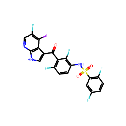 O=C(c1c(F)ccc(NS(=O)(=O)c2cc(F)ccc2F)c1F)c1c[nH]c2ncc(F)c(I)c12